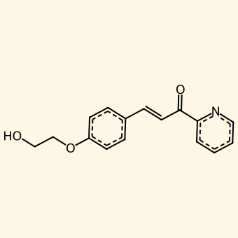 O=C(C=Cc1ccc(OCCO)cc1)c1ccccn1